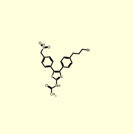 CC(=O)Nc1nc(-c2ccc(CCCBr)cc2)c(-c2ccc(C[SH](=O)=O)cc2)s1